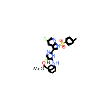 COC(=O)C1C2CCC(CC2)[C@@H]1Nc1nc(-c2cn(S(=O)(=O)c3ccc(C)cc3)c3ncc(F)cc23)ncc1F